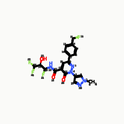 Cn1cc(-n2nc(-c3ccc(CF)cc3)cc(C(=O)NC(F)[C@H](O)C(F)F)c2=O)cn1